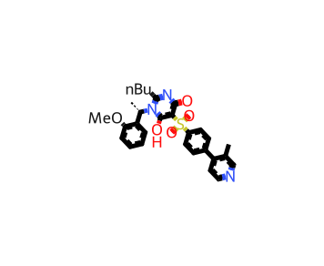 CCCCc1nc(=O)c(S(=O)(=O)c2ccc(-c3ccncc3C)cc2)c(O)n1[C@@H](C)c1ccccc1OC